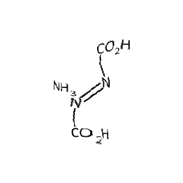 N.O=C(O)N=NC(=O)O